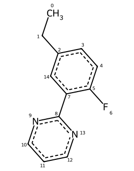 CCc1ccc(F)c(-c2ncccn2)c1